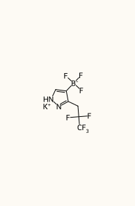 F[B-](F)(F)c1c[nH]nc1CC(F)(F)C(F)(F)F.[K+]